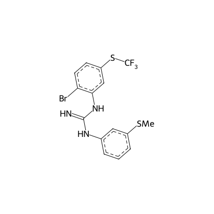 CSc1cccc(NC(=N)Nc2cc(SC(F)(F)F)ccc2Br)c1